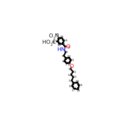 O=C(NCCc1ccc(OCCCCCc2ccccc2)cc1)c1ccc([N+](=O)[O-])c(C(=O)O)c1